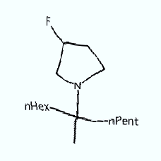 CCCCCCC(C)(CCCCC)N1CCC(F)C1